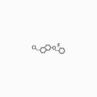 Fc1ccccc1COc1ccc2cc(CCl)ccc2c1